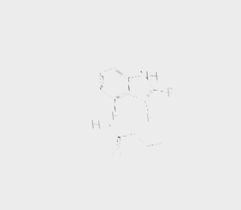 CCCC(=O)O.Fc1[nH]c2cccc(F)c2c1F